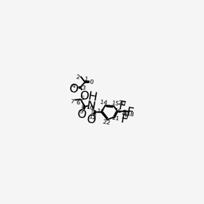 C=C(C)C(=O)OC(C)C(=O)NC(=O)c1ccc(C(F)(F)F)cc1